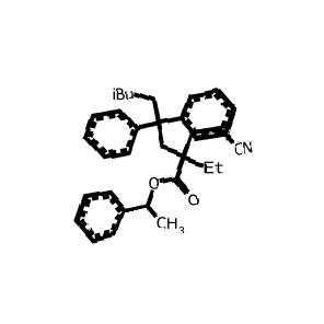 CCC(C)CC(CC(CC)(CCC#N)C(=O)OC(C)c1ccccc1)(c1ccccc1)c1ccccc1